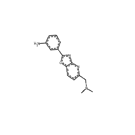 CN(C)Cc1ccc2oc(-c3cccc(N)c3)nc2n1